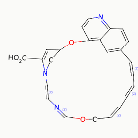 O=C(O)C1=CC2CN1/C=C\N=C/OC\C=C/C=C\C=C/c1ccc3nccc(c3c1)O2